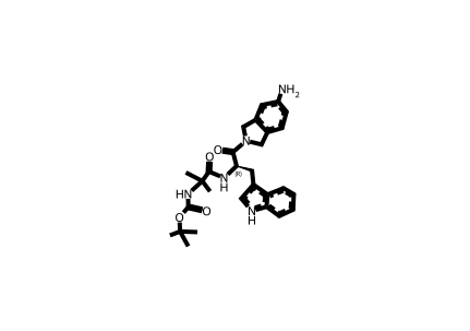 CC(C)(C)OC(=O)NC(C)(C)C(=O)N[C@H](Cc1c[nH]c2ccccc12)C(=O)N1Cc2ccc(N)cc2C1